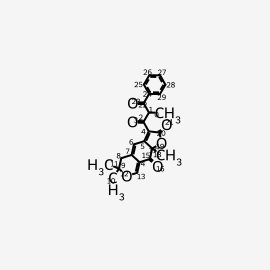 CC(C(=O)C1=C2C=C3CC(C)(C)OC=C3C(=O)C2(C)OC1=O)C(=O)c1ccccc1